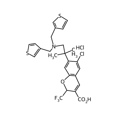 CC(C)(CN(Cc1ccsc1)Cc1ccsc1)c1cc2c(cc1Cl)C=C(C(=O)O)C(C(F)(F)F)O2.Cl